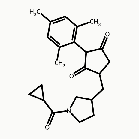 Cc1cc(C)c(C2C(=O)CC(CC3CCN(C(=O)C4CC4)C3)C2=O)c(C)c1